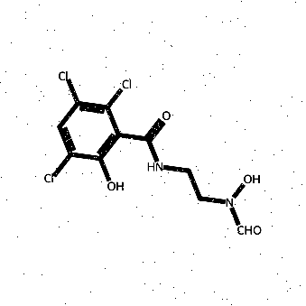 O=CN(O)CCNC(=O)c1c(O)c(Cl)cc(Cl)c1Cl